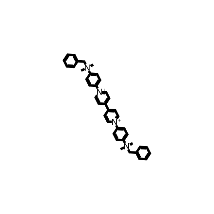 C[N+](C)(Cc1ccccc1)c1ccc(-[n+]2ccc(-c3cc[n+](-c4ccc([N+](C)(C)Cc5ccccc5)cc4)cc3)cc2)cc1